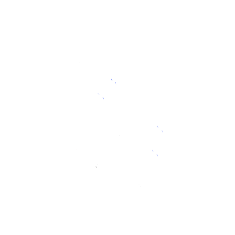 COC(=O)C1=NN(C)c2cnn(Cc3ccccc3)c(=O)c2C1C(=O)OC